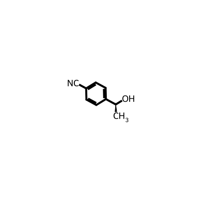 C[C@H](O)c1ccc(C#N)cc1